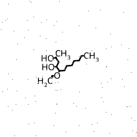 C=COC(CCCCCCC)C(O)CC(C)O